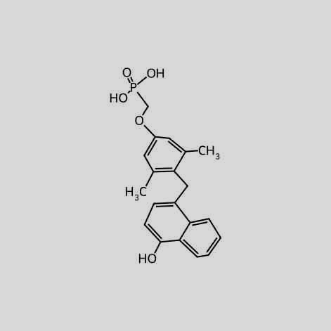 Cc1cc(OCP(=O)(O)O)cc(C)c1Cc1ccc(O)c2ccccc12